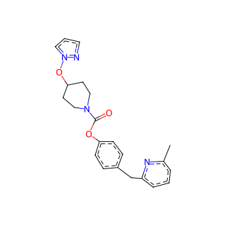 Cc1cccc(Cc2ccc(OC(=O)N3CCC(On4cccn4)CC3)cc2)n1